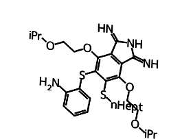 CCCCCCCSc1c(OCCOC(C)C)c2c(c(OCCOC(C)C)c1Sc1ccccc1N)C(=N)NC2=N